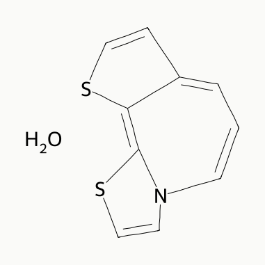 C1=CN2C=CSC2=c2sccc2=C1.O